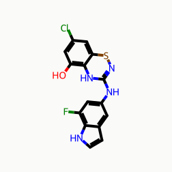 Oc1cc(Cl)cc2c1NC(Nc1cc(F)c3[nH]ccc3c1)=NS2